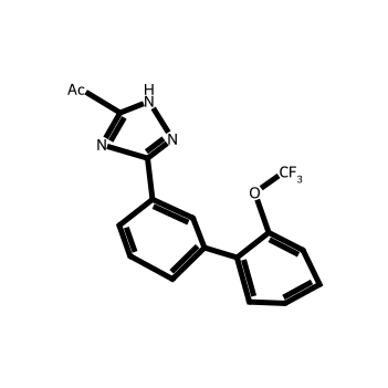 CC(=O)c1nc(-c2cccc(-c3ccccc3OC(F)(F)F)c2)n[nH]1